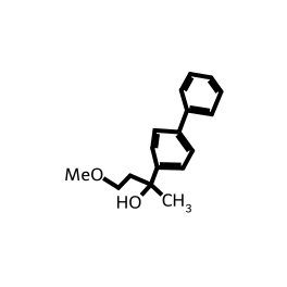 COCCC(C)(O)c1ccc(-c2ccccc2)cc1